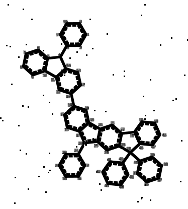 c1ccc(C2c3ccccc3-c3cc(-c4ccc5c(c4)c4cc6c(cc4n5-c4ccccc4)C(c4ccccc4)(c4ccccc4)c4ccccc4-6)ccc32)cc1